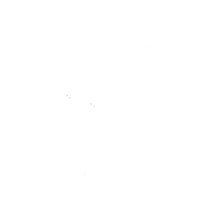 COCCn1c(Cc2ccc(Br)cc2COC)nc2ccc(C(=O)OC)cc21